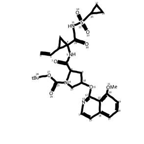 C=CC1CC1(NC(=O)C1CC(Oc2nccc3cccc(OC)c23)CN1C(=O)OC(C)(C)C)C(=O)NS(=O)(=O)C1CC1